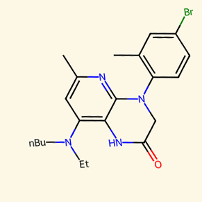 CCCCN(CC)c1cc(C)nc2c1NC(=O)CN2c1ccc(Br)cc1C